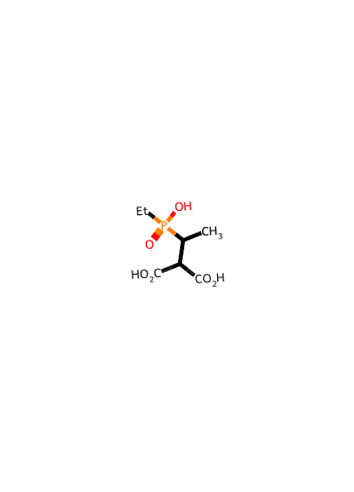 CCP(=O)(O)C(C)C(C(=O)O)C(=O)O